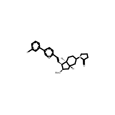 CO[C@@H]1C[C@H]2CC(N3CCCC3=O)CC[C@@H]2[C@@H]1C=Cc1ccc(-c2cccc(F)c2)cn1